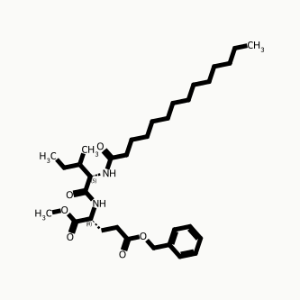 CCCCCCCCCCCCCC(=O)N[C@H](C(=O)N[C@H](CCC(=O)OCc1ccccc1)C(=O)OC)C(C)CC